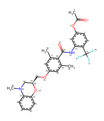 CC(=O)Oc1ccc(C(F)(F)F)c(NC(=O)c2c(C)cc(OC[C@@H]3CN(C)c4ccccc4O3)cc2C)c1